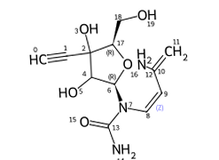 C#CC1(O)C(O)[C@H](N(/C=C\C(=C)N)C(N)=O)O[C@@H]1CO